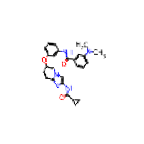 CN(C)c1cccc(C(=O)Nc2cccc(Oc3ccc4nc(NC(=O)C5CC5)cn4c3)c2)c1